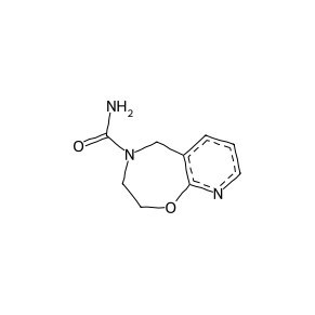 NC(=O)N1CCOc2ncccc2C1